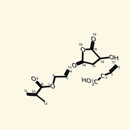 C=CCC(=O)O.C=CCOC(=O)C(=C)C.O=C1CC(O)C(=O)O1